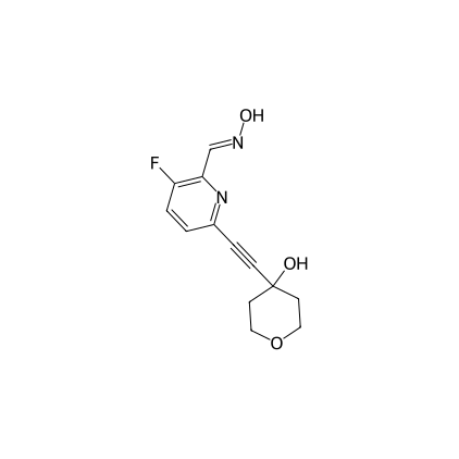 ON=Cc1nc(C#CC2(O)CCOCC2)ccc1F